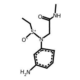 CC[S+]([O-])N(CC(=O)NC)c1cccc(N)c1